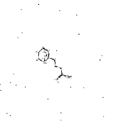 O=C(O)CCCC1CC2CCCN1CC2